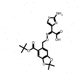 CC(C)(C)OC(=O)c1cc2c(cc1CON=C(C(=O)O)c1csc(N)n1)OC(C)(C)O2